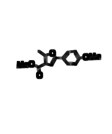 COC(=O)c1cc(-c2ccc(OC)cc2)oc1C